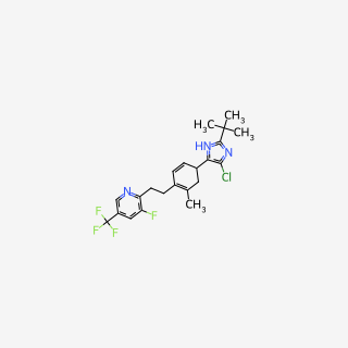 CC1=C(CCc2ncc(C(F)(F)F)cc2F)C=CC(c2[nH]c(C(C)(C)C)nc2Cl)C1